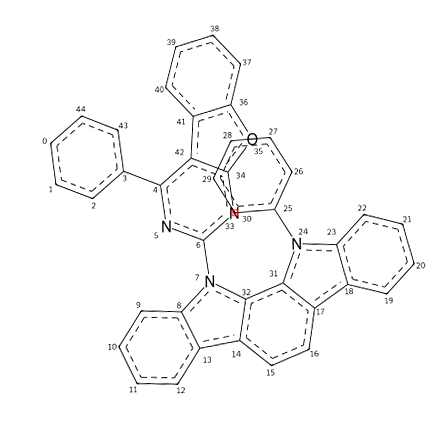 c1ccc(-c2nc(-n3c4ccccc4c4ccc5c6ccccc6n(-c6ccccc6)c5c43)nc3oc4ccccc4c23)cc1